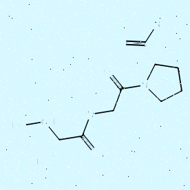 CN[C@@H](C)C(=O)NCC(=O)N1CCC[C@H]1C(N)=O